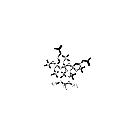 C=C(C)COC[Si](O[Si](C)(C)C)(O[Si](C)(C)C)O[Si](O[Si](C)(C)C)(O[Si](C)(C)C)O[Si](COCC(=C)C)(O[Si](C)(C)C)O[Si](C)(C)C.[SiH3]O[SiH2]O[SiH3]